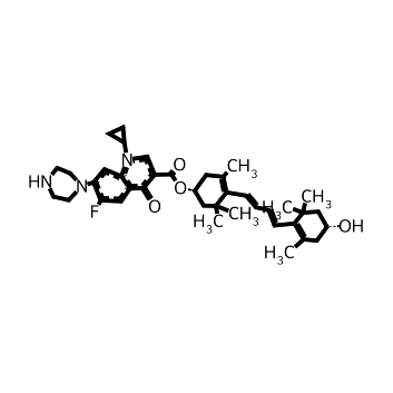 CC1=C(/C=C/C=C/C2=C(C)C[C@@H](OC(=O)c3cn(C4CC4)c4cc(N5CCNCC5)c(F)cc4c3=O)CC2(C)C)C(C)(C)C[C@H](O)C1